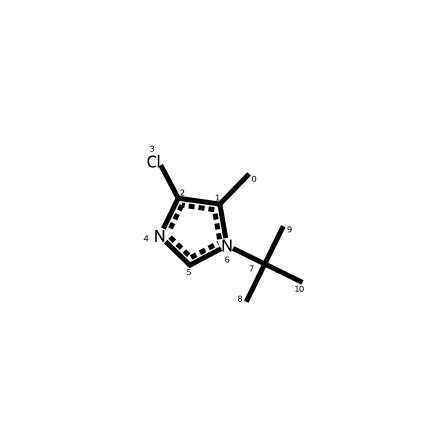 Cc1c(Cl)ncn1C(C)(C)C